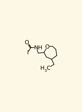 CCC1CCCOC(CNC(=O)I)C1